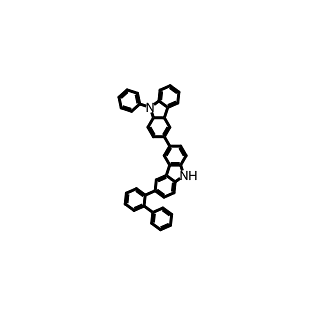 C1=CC2C(C=C1c1ccc3[nH]c4ccc(-c5ccccc5-c5ccccc5)cc4c3c1)c1ccccc1N2c1ccccc1